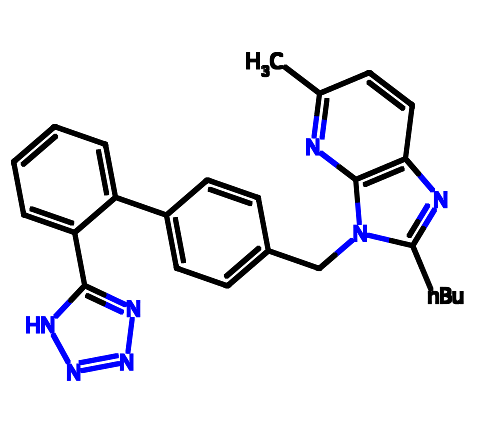 CCCCc1nc2ccc(C)nc2n1Cc1ccc(-c2ccccc2-c2nnn[nH]2)cc1